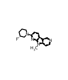 Cn1c2ccncc2c2ccc(N3CCC[C@@H](F)C3)nc21